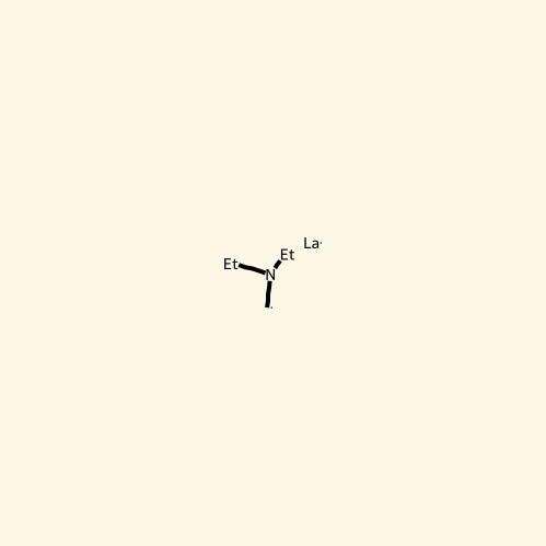 [CH2]N(CC)CC.[La]